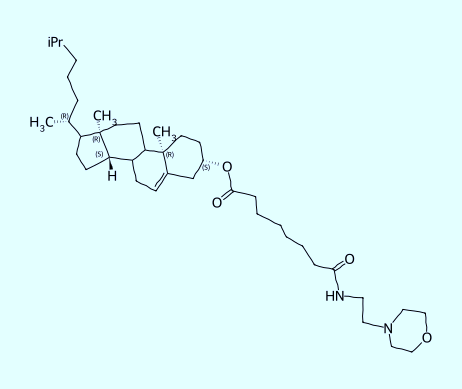 CC(C)CCC[C@@H](C)C1CC[C@H]2C3CC=C4C[C@@H](OC(=O)CCCCCCC(=O)NCCN5CCOCC5)CC[C@]4(C)C3CC[C@]12C